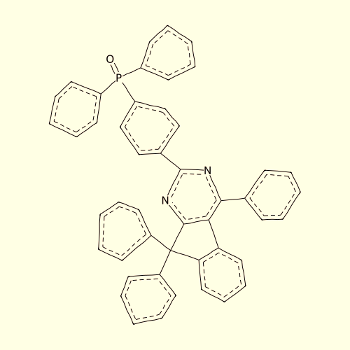 O=P(c1ccccc1)(c1ccccc1)c1ccc(-c2nc(-c3ccccc3)c3c(n2)C(c2ccccc2)(c2ccccc2)c2ccccc2-3)cc1